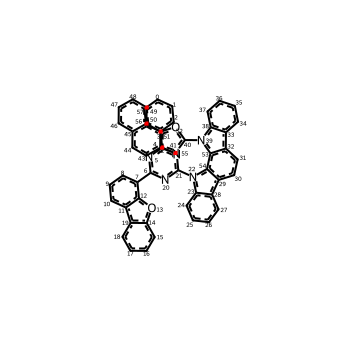 c1ccc(-c2nc(-c3cccc4c3oc3ccccc34)nc(-n3c4ccccc4c4ccc5c6ccccc6n(-c6nc7ccc8ccccc8c7o6)c5c43)n2)cc1